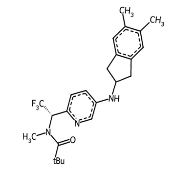 Cc1cc2c(cc1C)CC(Nc1ccc([C@H](N(C)C(=O)C(C)(C)C)C(F)(F)F)nc1)C2